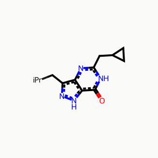 CC(C)Cc1n[nH]c2c(=O)[nH]c(CC3CC3)nc12